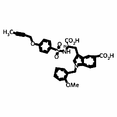 CC#CCOc1ccc(S(=O)(=O)N[C@@H](Cc2cn(Cc3ccccc3OC)c3ccc(C(=O)O)cc23)C(=O)O)cc1